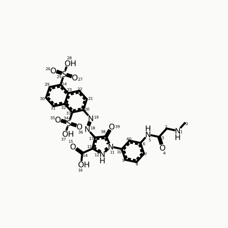 CNCC(=O)Nc1cccc(-n2[nH]c(C(=O)O)c(N=Nc3ccc4c(S(=O)(=O)O)cccc4c3S(=O)(=O)O)c2=O)c1